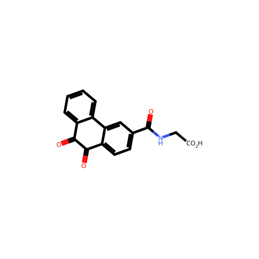 O=C(O)CNC(=O)c1ccc2c(c1)-c1ccccc1C(=O)C2=O